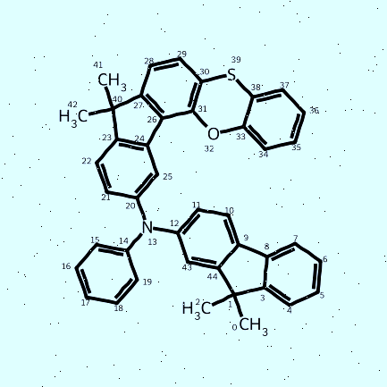 CC1(C)c2ccccc2-c2ccc(N(c3ccccc3)c3ccc4c(c3)-c3c(ccc5c3Oc3ccccc3S5)C4(C)C)cc21